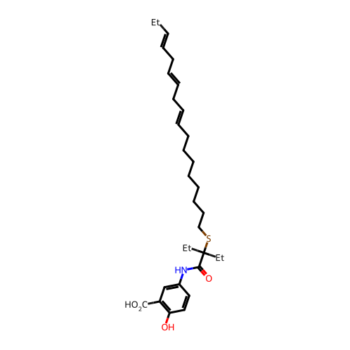 CCC=CCC=CCC=CCCCCCCCCSC(CC)(CC)C(=O)Nc1ccc(O)c(C(=O)O)c1